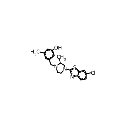 Cc1cc(O)cc(CN2CCN(c3nc4ccc(Cl)cc4s3)C[C@@H]2C)c1